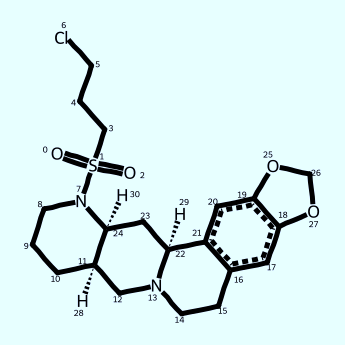 O=S(=O)(CCCCl)N1CCC[C@@H]2CN3CCc4cc5c(cc4[C@@H]3C[C@@H]21)OCO5